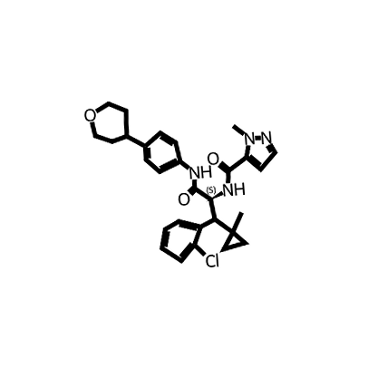 Cn1nccc1C(=O)N[C@H](C(=O)Nc1ccc(C2CCOCC2)cc1)C(c1ccccc1Cl)C1(C)CC1